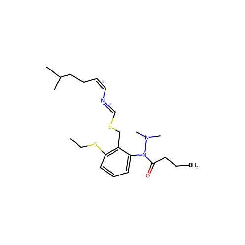 BCCC(=O)N(c1cccc(SCC)c1CS/C=N/C=C\CCC(C)C)N(C)C